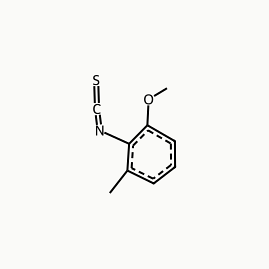 COc1cccc(C)c1N=C=S